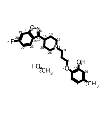 CO.Cc1ccc(OCCCN2CCC(c3noc4cc(F)ccc34)CC2)c(O)c1